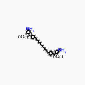 CCCCCCCCC(c1ccc(N)cc1)c1ccc(CCCCCCCCCCCCc2ccc(C(CCCCCCCC)c3ccc(N)cc3)cc2)cc1